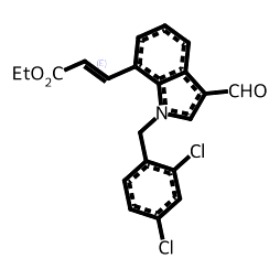 CCOC(=O)/C=C/c1cccc2c(C=O)cn(Cc3ccc(Cl)cc3Cl)c12